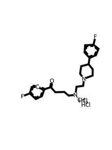 CN(CCCC(=O)c1ccc(F)cc1)CCN1CCC(c2ccc(F)cc2)CC1.Cl.Cl